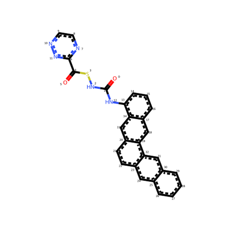 O=C(NSC(=O)c1nccnn1)Nc1cccc2cc3c(ccc4cc5ccccc5cc43)cc12